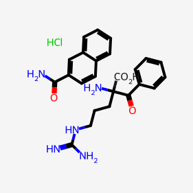 Cl.N=C(N)NCCCC(N)(C(=O)O)C(=O)c1ccccc1.NC(=O)c1ccc2ccccc2c1